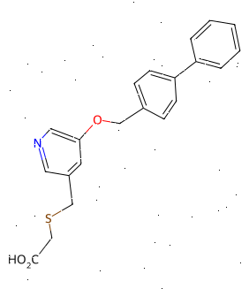 O=C(O)CSCc1cncc(OCc2ccc(-c3ccccc3)cc2)c1